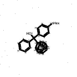 CCCCCCc1ccc(C(O)(c2ccccc2)[C]23[CH]4[CH]5[CH]6[CH]2[Fe]56432789[CH]3[CH]2[CH]7[CH]8[CH]39)cc1